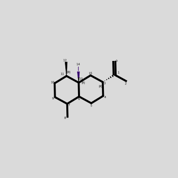 C=C(C)[C@@H]1CCC2C(C)CC[C@@H](C)[C@]2(I)C1